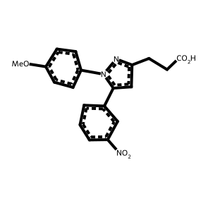 COc1ccc(-n2nc(CCC(=O)O)cc2-c2cccc([N+](=O)[O-])c2)cc1